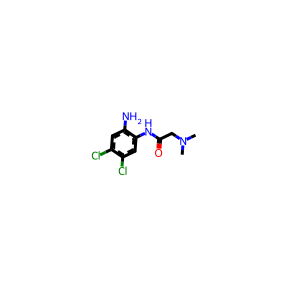 CN(C)CC(=O)Nc1cc(Cl)c(Cl)cc1N